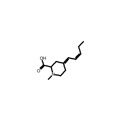 CC/C=C\C=C1/CCN(C)C(C(=O)O)C1